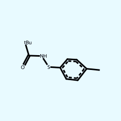 Cc1ccc(SNC(=O)C(C)(C)C)cc1